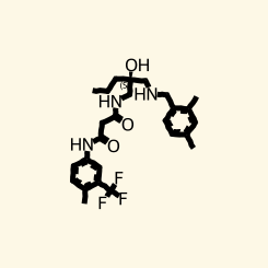 CCC[C@](O)(CNCc1ccc(C)cc1C)CNC(=O)CC(=O)Nc1ccc(C)c(C(F)(F)F)c1